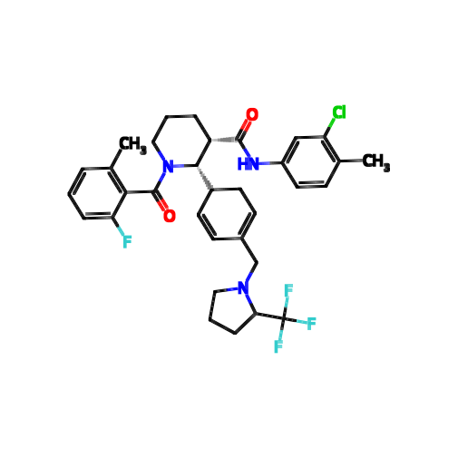 Cc1ccc(NC(=O)[C@H]2CCCN(C(=O)c3c(C)cccc3F)[C@H]2C2C=CC(CN3CCCC3C(F)(F)F)=CC2)cc1Cl